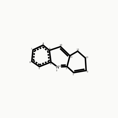 C1=CC2=[N+]c3ccccc3C=C2CC1